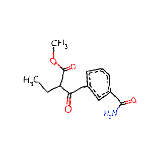 CCC(C(=O)OC)C(=O)c1cccc(C(N)=O)c1